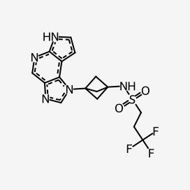 O=S(=O)(CCC(F)(F)F)NC12CC(n3cnc4cnc5[nH]ccc5c43)(C1)C2